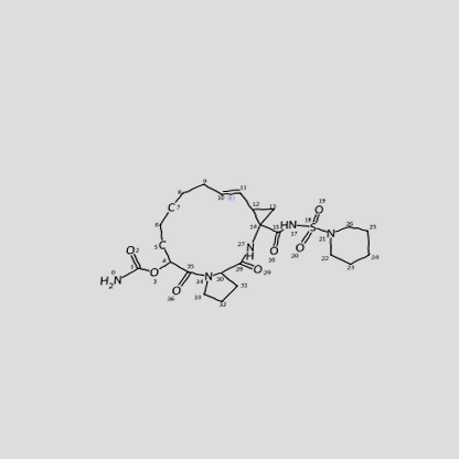 NC(=O)OC1CCCCC/C=C/C2CC2(C(=O)NS(=O)(=O)N2CCCCC2)NC(=O)C2CCCN2C1=O